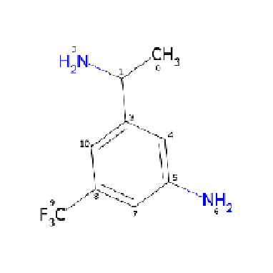 CC(N)c1cc(N)cc(C(F)(F)F)c1